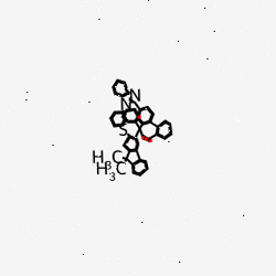 CC1(C)c2ccccc2-c2cc3c(cc21)Sc1ccccc1C31c2ccccc2-c2ccccc2-c2ccc(-c3nc4ccccc4n3-c3ccccc3)cc21